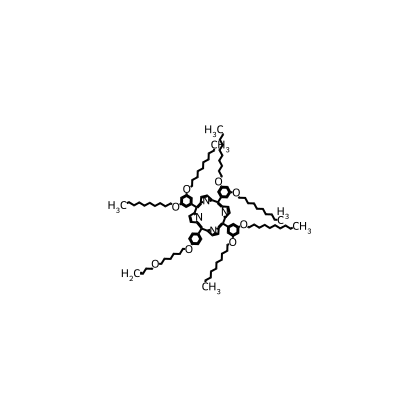 C=CCCOCCCCCCOc1ccc(C2=C3C=CC(=N3)C(c3cc(OCCCCCCCCCC)cc(OCCCCCCCCCC)c3)=C3C=CC(=N3)C(c3cc(OCCCCCCCCCC)cc(OCCCCCCCCCC)c3)=C3C=CC(=N3)C(c3cc(OCCCCCCCCCC)cc(OCCCCCCCCCC)c3)=C3C=CC2=N3)cc1